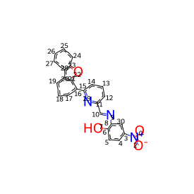 O=[N+]([O-])c1ccc(O)c(/N=C/c2cccc(-c3cccc4c3oc3ccccc34)n2)c1